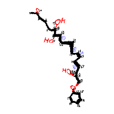 CC(=O)CCC[C@H](O)[C@H](O)/C=C/C=C/C=C\C=C\[C@H](O)COc1ccccc1